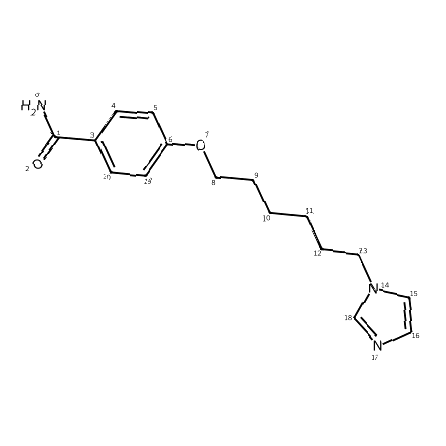 NC(=O)c1ccc(OCCCCCCn2ccnc2)cc1